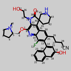 CN1CCC[C@H]1COc1nc2c(F)c(-c3cc(O)cc4ccccc34)c(CCCC#N)cc2c2c1N(CCO)C(=O)C21CCCNC1